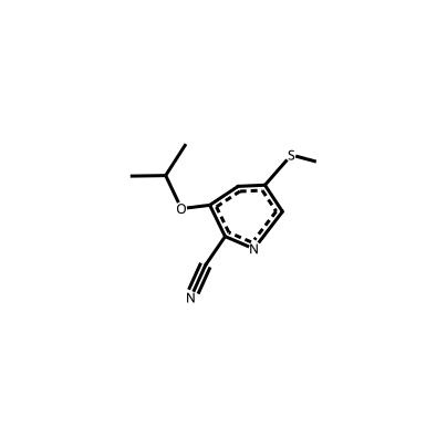 CSc1cnc(C#N)c(OC(C)C)c1